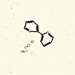 [Cl-].[Cl-].[Cl-].[Nb+3].c1ccc(-c2ccccn2)nc1